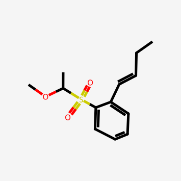 CC/C=C/c1ccccc1S(=O)(=O)C(C)OC